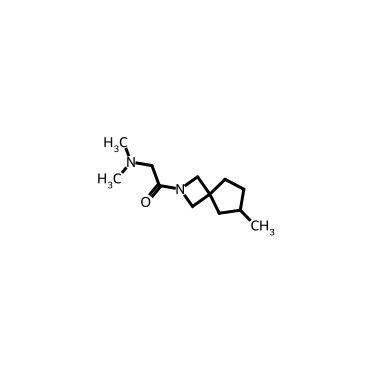 CC1CCC2(C1)CN(C(=O)CN(C)C)C2